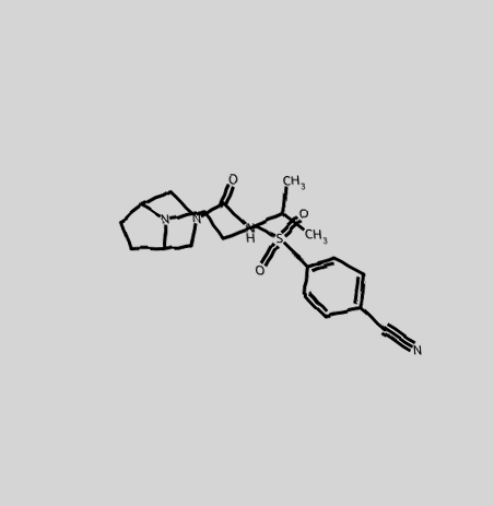 CC(C)NC(=O)N1CC2CCC(C1)N2CCCS(=O)(=O)c1ccc(C#N)cc1